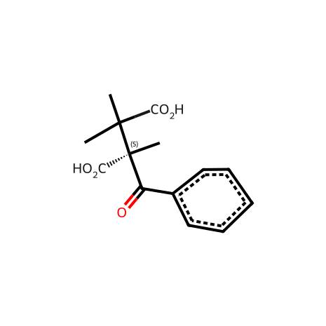 CC(C)(C(=O)O)[C@](C)(C(=O)O)C(=O)c1ccccc1